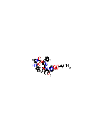 CCCCOC(=O)ON1CCN(C(=O)[C@@H](NC(=O)c2cc(OCC(=O)N3CCC[C@H]3C(=O)NC3CCC3)n(-c3ccccc3)n2)C(C)C)CC1